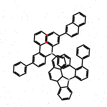 C1=CC2c3ccccc3N(c3cccc(-c4ccccc4)c3-c3ccc(N(c4cccc(-c5ccc6ccccc6c5)c4)c4ccc(-c5ccccc5)cc4-c4ccccc4)cc3)C2c2ccccc21